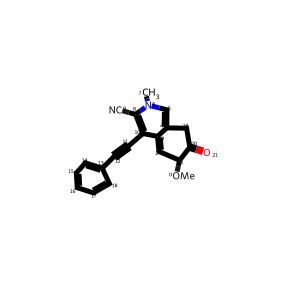 COC1C=C2C(=CN(C)C(C#N)=C2C#Cc2ccccc2)CC1=O